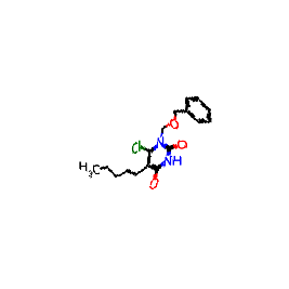 CCCCCc1c(Cl)n(COCc2ccccc2)c(=O)[nH]c1=O